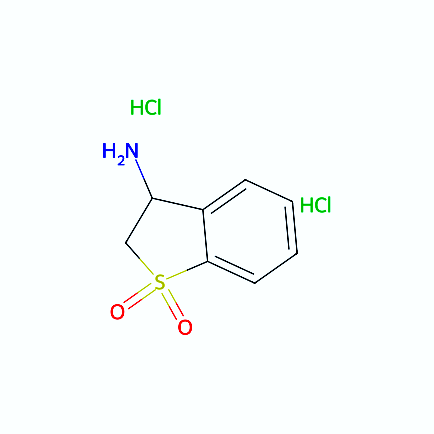 Cl.Cl.NC1CS(=O)(=O)c2ccccc21